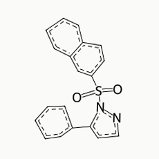 O=S(=O)(c1ccc2ccccc2c1)n1nccc1-c1ccccc1